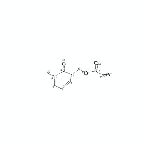 CCCC(=O)OCC1C=CC=C(C)C1=O